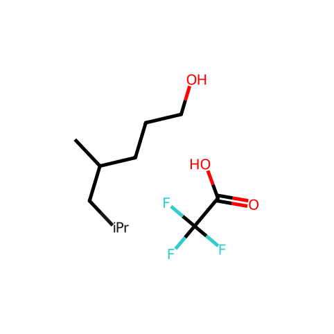 CC(C)CC(C)CCCO.O=C(O)C(F)(F)F